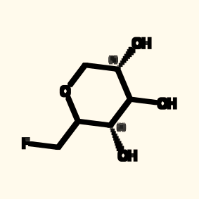 OC1[C@H](O)C(CF)OC[C@@H]1O